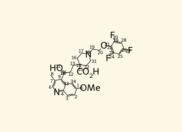 COc1ccc2ncc(C)c([C@H](O)CCC3(C(=O)O)CCN(CCOc4c(F)cc(F)cc4F)CC3)c2c1